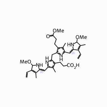 C=CC1=C(C)C(OC)N/C1=C\c1[nH]c(Cc2[nH]c(/C=C3\NC(OC)C(C=C)=C3C)c(C)c2CCC(=O)O)c(CCC(=O)OC)c1C